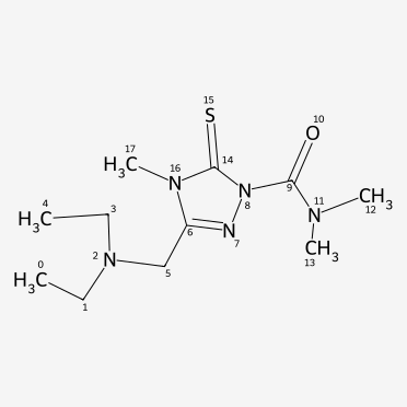 CCN(CC)Cc1nn(C(=O)N(C)C)c(=S)n1C